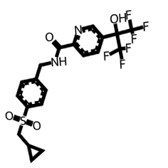 O=C(NCc1ccc(S(=O)(=O)CC2CC2)cc1)c1ccc(C(O)(C(F)(F)F)C(F)(F)F)cn1